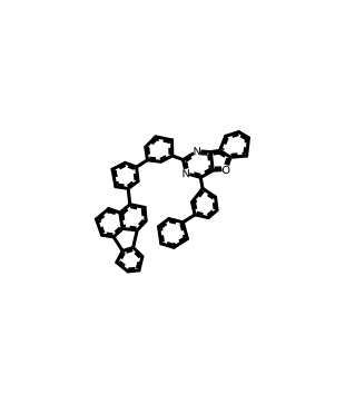 c1ccc(-c2cccc(-c3nc(-c4cccc(-c5cccc(-c6ccc7c8c(cccc68)-c6ccccc6-7)c5)c4)nc4c3oc3ccccc34)c2)cc1